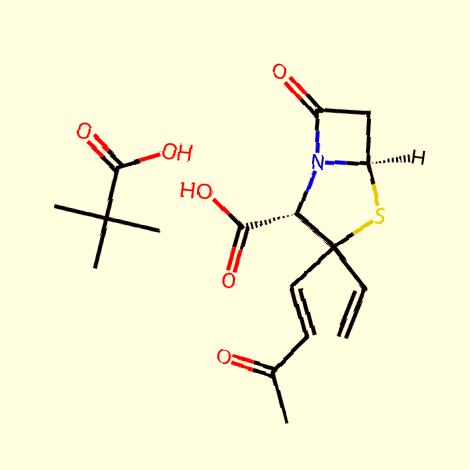 C=CC1(C=CC(C)=O)S[C@@H]2CC(=O)N2[C@H]1C(=O)O.CC(C)(C)C(=O)O